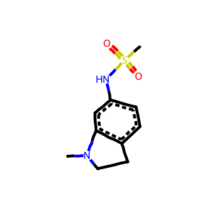 CN1CCc2ccc(NS(C)(=O)=O)cc21